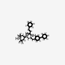 CC1(C)CC(NC[C@H](Cc2ccc(-c3ccccc3)cc2)NC(=O)C=Cc2ccccc2)CC(C)(C)N1